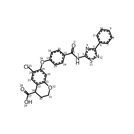 O=C(Nc1nc(-c2ccccc2)ns1)c1ccc(Oc2cc3c(cc2Cl)C(C(=O)O)CCO3)cc1